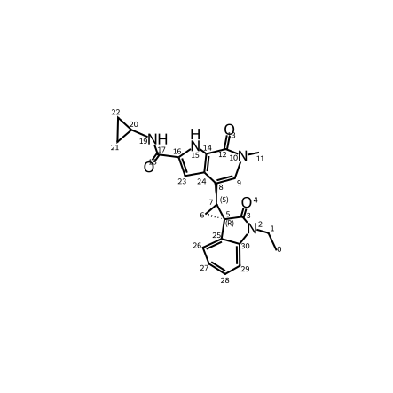 CCN1C(=O)[C@@]2(C[C@H]2c2cn(C)c(=O)c3[nH]c(C(=O)NC4CC4)cc23)c2ccccc21